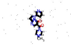 CN1CCN(C(=O)c2cnc3ccn(-c4cccnc4)n3c2=O)CC1